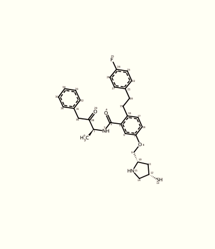 C[C@H](NC(=O)c1cc(OC[C@@H]2C[C@H](S)CN2)ccc1CCc1ccc(F)cc1)C(=O)Cc1ccccc1